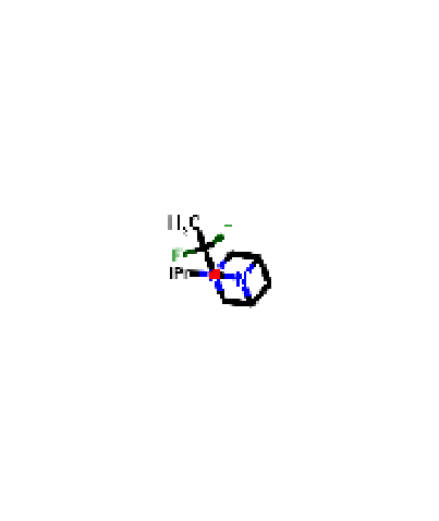 CC(C)N1CC2CC(C1)N2CC(C)(F)F